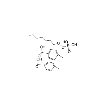 CCCCCCCOOP(=O)(O)O.Cc1ccc(C(=O)O)cc1.Cc1ccc(C(=O)O)cc1